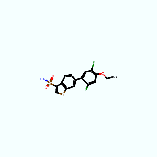 N#CCOc1cc(F)c(-c2ccc3c(S(N)(=O)=O)csc3c2)cc1F